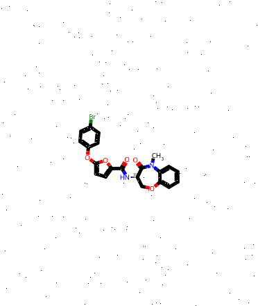 CN1C(=O)[C@@H](NC(=O)c2ccc(Oc3ccc(Br)cc3)o2)COc2ccccc21